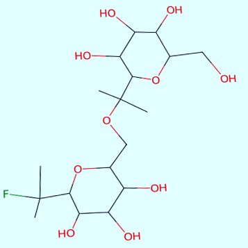 CC(C)(F)C1OC(COC(C)(C)C2OC(CO)C(O)C(O)C2O)C(O)C(O)C1O